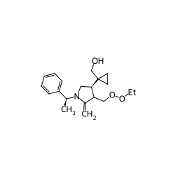 C=C1C(COOCC)[C@H](C2(CO)CC2)CN1[C@@H](C)c1ccccc1